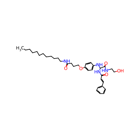 CCCCCCCCCCCCNC(=O)CCCOc1ccc(NC(NC(=O)C=Cc2ccccc2)C(=O)NCCO)cc1